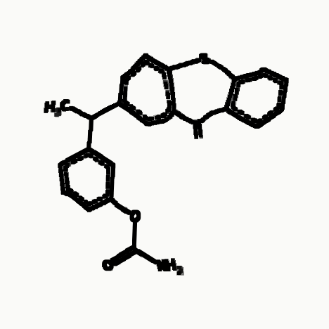 CC(c1cccc(OC(N)=O)c1)c1ccc2c(c1)Nc1ccccc1S2